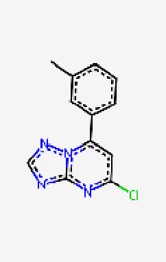 Cc1cccc(-c2cc(Cl)nc3ncnn23)c1